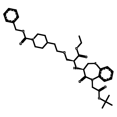 CCOC(=O)[C@H](COCCC1CCN(C(=O)OCc2ccccc2)CC1)N[C@H]1CSc2ccccc2N(CC(=O)OC(C)(C)C)C1=O